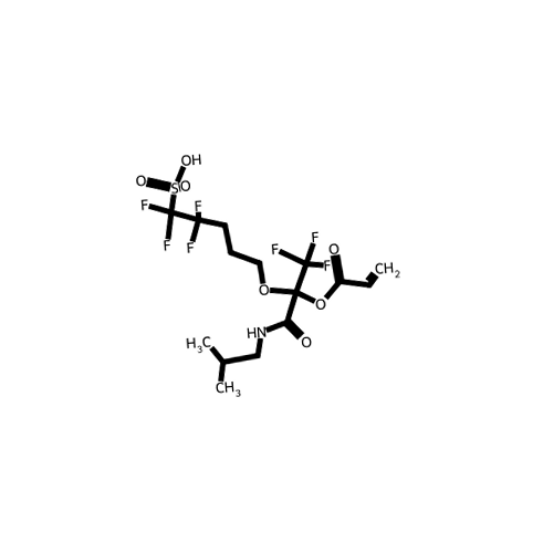 C=CC(=O)OC(OCCCC(F)(F)C(F)(F)S(=O)(=O)O)(C(=O)NCC(C)C)C(F)(F)F